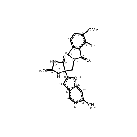 COc1ccc2c(c1F)C(=O)N(C[C@@]1(c3cc4cnc(C)cc4o3)NC(=O)NC1=O)C2